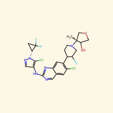 C[C@@]1(N2CCC(c3cc4nc(Nc5cnn([C@@H]6CC6(F)F)c5Cl)ncc4cc3Cl)C(F)C2)COCC1O